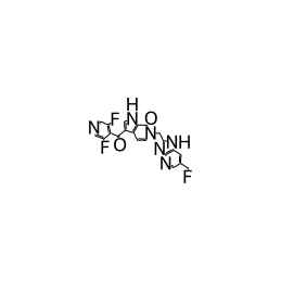 O=C(c1c(F)cncc1F)c1c[nH]c2c(=O)n(Cc3nc4ncc(CF)cc4[nH]3)ccc12